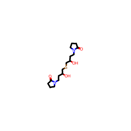 O=C1CCCN1CCC(O)CSCC(O)CCN1CCCC1=O